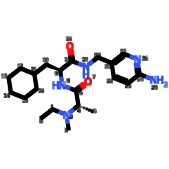 CCN(C)[C@@H](C)C(=O)N[C@@H](CC1CCCCC1)C(=O)NCc1ccc(N)nc1